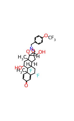 C[C@]12C=CC(=O)C=C1[C@@H](F)C[C@H]1[C@@H]3C[C@H]4CN(Cc5ccc(OC(F)(F)F)cc5)O[C@@]4(C(=O)CO)[C@@]3(C)C[C@H](O)[C@@]12F